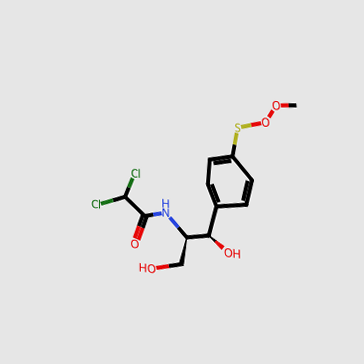 COOSc1ccc([C@@H](O)[C@@H](CO)NC(=O)C(Cl)Cl)cc1